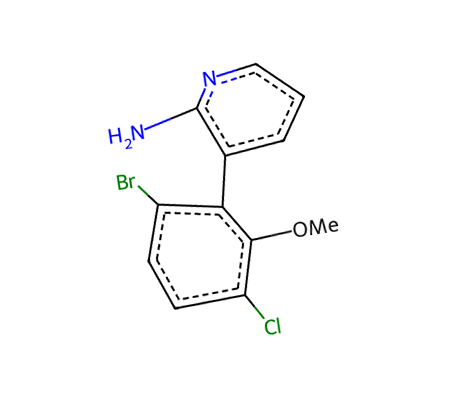 COc1c(Cl)ccc(Br)c1-c1cccnc1N